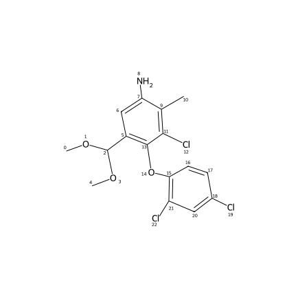 COC(OC)c1cc(N)c(C)c(Cl)c1Oc1ccc(Cl)cc1Cl